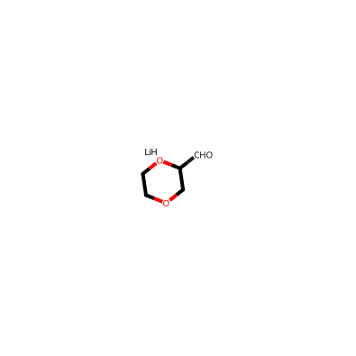 O=CC1COCCO1.[LiH]